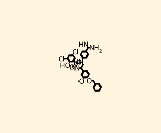 COc1cc(C(CNc2ccc(C(=N)N)cc2)NS(=O)(=O)c2cc(Cl)cc(Cl)c2O)ccc1OCc1ccccc1